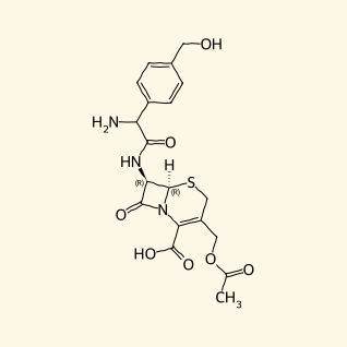 CC(=O)OCC1=C(C(=O)O)N2C(=O)[C@@H](NC(=O)C(N)c3ccc(CO)cc3)[C@H]2SC1